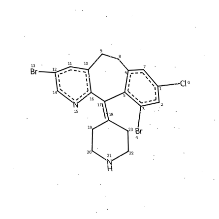 Clc1cc(Br)c2c(c1)CCc1cc(Br)cnc1C2=C1CCNCC1